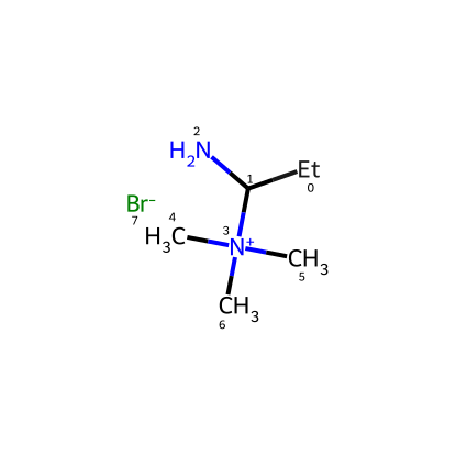 CCC(N)[N+](C)(C)C.[Br-]